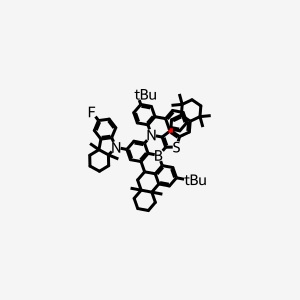 CC(C)(C)c1ccc(N2c3cc(N4c5ccc(F)cc5C5(C)CCCCC45C)cc4c3B(c3cc(C(C)(C)C)cc5c3C4CC3(C)CCCCC53C)c3sc4cc5c(cc4c32)C(C)(C)CCC5(C)C)c(-c2ccccc2)c1